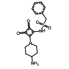 NC1CCN(c2c(NS(=O)(=O)Cc3ccccc3)c(=O)c2=O)CC1